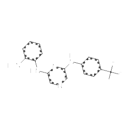 Nc1ccccc1Nc1cncc(Nc2ccc(C(F)(F)F)cc2)n1